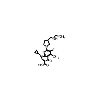 CCNCC1CCN(c2nc3c(c(C)c2F)c(=O)c(C(=O)O)cn3C2CC2)C1